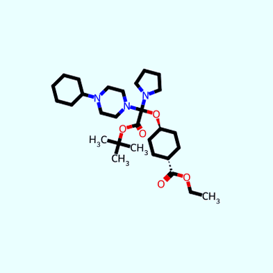 CCOC(=O)[C@H]1CC[C@H](OC(C(=O)OC(C)(C)C)(N2CCCC2)N2CCN(C3CCCCC3)CC2)CC1